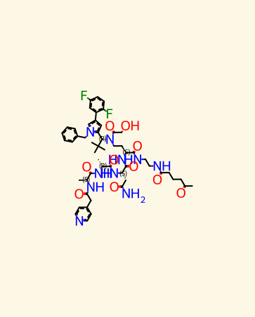 CC(=O)CCCC(=O)NCCNC(=O)[C@H](CCN(C(=O)CO)[C@@H](c1cc(-c2cc(F)ccc2F)cn1Cc1ccccc1)C(C)(C)C)NC(=O)[C@H](CC(N)=O)NC(=O)[C@@H](C)NC(=O)[C@H](C)NC(=O)Cc1ccncc1